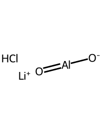 Cl.[Li+].[O]=[Al][O-]